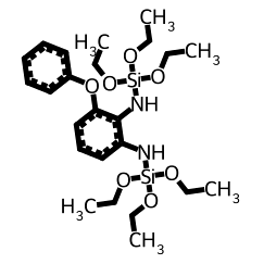 CCO[Si](Nc1cccc(Oc2ccccc2)c1N[Si](OCC)(OCC)OCC)(OCC)OCC